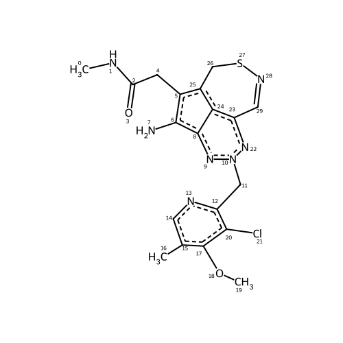 CNC(=O)Cc1c(N)c2nn(Cc3ncc(C)c(OC)c3Cl)nc3c-2c1CSN=C3